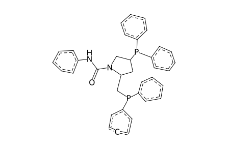 O=C(Nc1ccccc1)N1CC(P(c2ccccc2)c2ccccc2)CC1CP(c1ccccc1)c1ccccc1